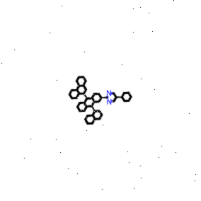 c1ccc(-c2cnc(-c3ccc4c(-c5cc6ccccc6c6ccccc56)c5ccccc5c(-c5cccc6ccccc56)c4c3)nc2)cc1